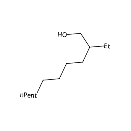 [CH2]CC(CO)CCCCCCCCC